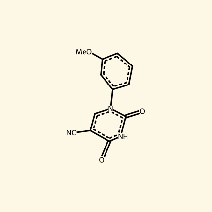 COc1cccc(-n2cc(C#N)c(=O)[nH]c2=O)c1